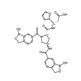 O=C(O)C[C@H](NC(=O)[C@@H]1C[C@@H](NC(=O)c2ccc3c(c2)B(O)OC3)CN1C(=O)c1ccc2c(c1)B(O)OC2)c1ccco1